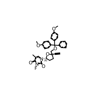 C#C[C@@]1(COC(c2ccccc2)(c2ccc(OC)cc2)c2ccc(OC)cc2)CC[C@H](n2cc(C)c(=O)n(F)c2=O)O1